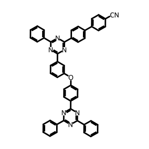 N#Cc1ccc(-c2ccc(-c3nc(-c4ccccc4)nc(-c4cccc(Oc5ccc(-c6nc(-c7ccccc7)nc(-c7ccccc7)n6)cc5)c4)n3)cc2)cc1